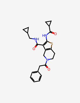 O=C(NCC1CC1)c1c(NC(=O)C2CC2)sc2c1CN(C(=O)Cc1ccccc1)CC2